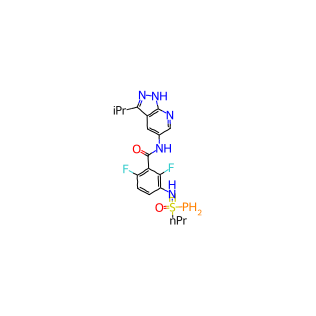 CCC[SH](=O)(P)Nc1ccc(F)c(C(=O)Nc2cnc3[nH]nc(C(C)C)c3c2)c1F